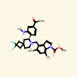 COC(=O)c1ccc([C@@H]2CC3(CCN2Cc2c(OC)cc(C)c4c2ccn4C(=O)OC(C)(C)C)CC(F)(F)C3)c(NC(C)C)c1